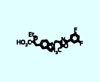 CCOC(Cc1ccc2c(ccn2Cc2nc(-c3cc(F)cc(F)c3)oc2C)c1)C(=O)O